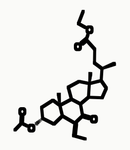 C/C=C1\C(=O)C2C(CC[C@@]3(C)C2CCC3[C@H](C)CCC(=O)OCC)[C@@]2(C)CC[C@@H](OC(C)=O)CC12